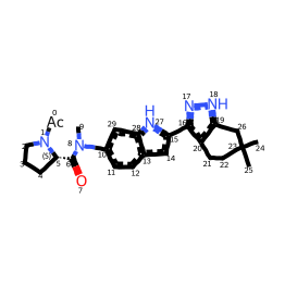 CC(=O)N1CCC[C@H]1C(=O)N(C)c1ccc2cc(-c3n[nH]c4c3CCC(C)(C)C4)[nH]c2c1